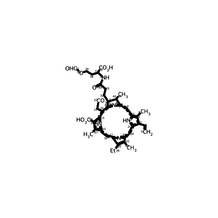 C=Cc1c(C)c2cc3nc(c(CC(=O)O)c4[nH]c(cc5nc(cc1[nH]2)C(C)=C5CC)c(C)c4C(=O)O)C(CCC(=O)NC(CCOC=O)C(=O)O)C3C